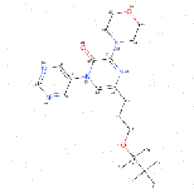 CC(C)(C)[Si](C)(C)OCCCc1cn(-c2cncnc2)c(=O)c(N2CCOCC2)n1